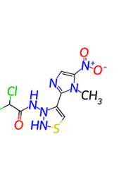 Cn1c([N+](=O)[O-])cnc1C1=CSNN1NC(=O)C(Cl)Cl